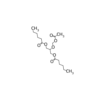 CCCCCC(=O)OCC(COC(=O)CCCCC)OCOC(C)=O